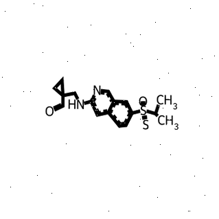 CC(C)S(=O)(=S)c1ccc2cc(NCC3(C=O)CC3)ncc2c1